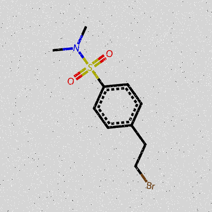 CN(C)S(=O)(=O)c1ccc(CCBr)cc1